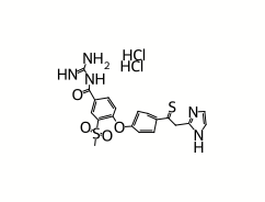 CS(=O)(=O)c1cc(C(=O)NC(=N)N)ccc1Oc1ccc(C(=S)Cc2ncc[nH]2)cc1.Cl.Cl